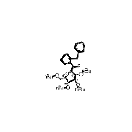 CCCCOC[C@H]1OC(=C(F)c2ccccc2Cc2ccccc2)[C@H](OCCCC)[C@@H](OCCCC)[C@@H]1OCCCC